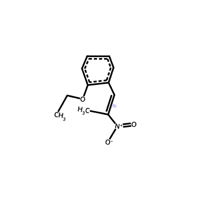 CCOc1ccccc1/C=C(\C)[N+](=O)[O-]